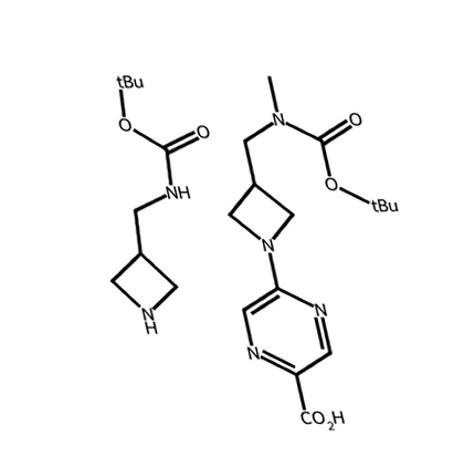 CC(C)(C)OC(=O)NCC1CNC1.CN(CC1CN(c2cnc(C(=O)O)cn2)C1)C(=O)OC(C)(C)C